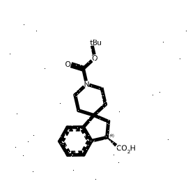 CC(C)(C)OC(=O)N1CCC2(CC1)C[C@@H](C(=O)O)c1ccccc12